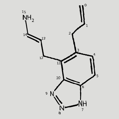 C=CCc1ccc2[nH]nnc2c1CC=CN